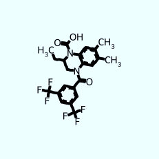 CCC1CN(C(=O)c2cc(C(F)(F)F)cc(C(F)(F)F)c2)c2cc(C)c(C)cc2N1C(=O)O